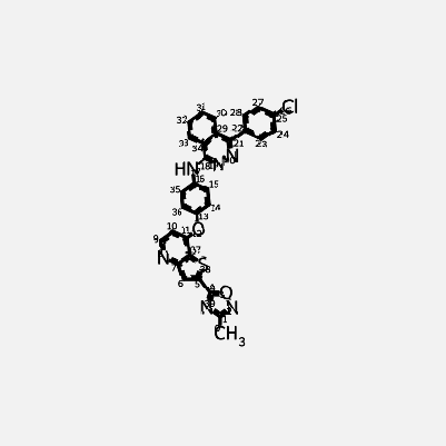 Cc1noc(-c2cc3nccc(Oc4ccc(Nc5nnc(-c6ccc(Cl)cc6)c6ccccc56)cc4)c3s2)n1